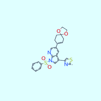 O=S(=O)(c1ccccc1)n1cc(-c2cs[c]n2)c2cc(C3=CCC4(CC3)OCCO4)cnc21